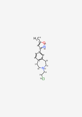 Cc1cc(-c2ccc3c(c2)CCN(CCCl)CC3)no1